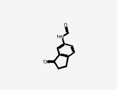 O=CNc1ccc2c(c1)C(=O)CC2